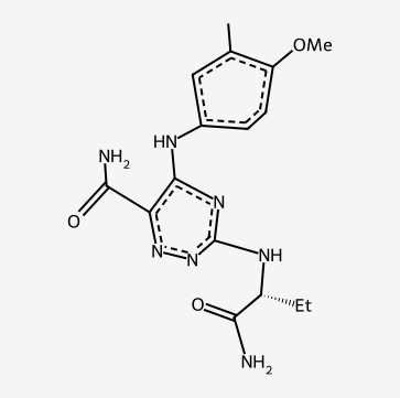 CC[C@@H](Nc1nnc(C(N)=O)c(Nc2ccc(OC)c(C)c2)n1)C(N)=O